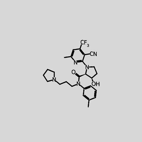 Cc1cccc(N(CCCN2CCCC2)C(=O)[C@@H]2[C@H](O)CCN2c2nc(C)cc(C(F)(F)F)c2C#N)c1